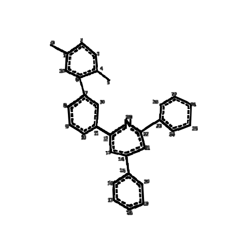 Cc1ccc(C)c(-c2cccc(-c3cc(-c4ccccc4)cc(-c4ccccc4)n3)c2)c1